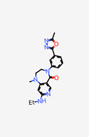 CCNc1cc2c(cn1)C(=O)N(c1cccc(-c3nnc(C)o3)c1)CCN2C